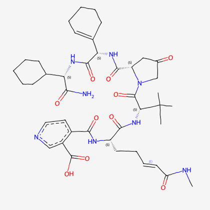 CNC(=O)/C=C/CC[C@H](NC(=O)c1ccncc1C(=O)O)C(=O)N[C@H](C(=O)N1CC(=O)C[C@H]1C(=O)N[C@H](C(=O)N[C@H](C(N)=O)C1CCCCC1)C1=CCCCC1)C(C)(C)C